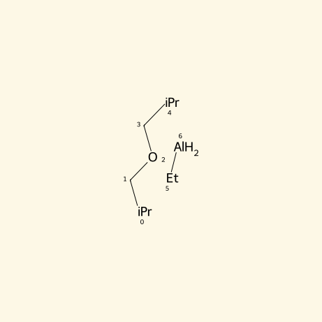 CC(C)COCC(C)C.C[CH2][AlH2]